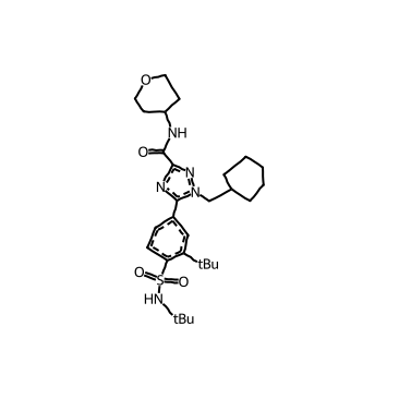 CC(C)(C)NS(=O)(=O)c1ccc(-c2nc(C(=O)NC3CCOCC3)nn2CC2CCCCC2)cc1C(C)(C)C